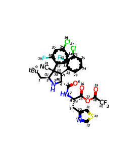 CC(C)(C)C[C@@H]1N[C@@H](C(=O)N[C@@H](Cc2cscn2)C(=O)OC(=O)C(F)(F)F)[C@H](c2cccc(Cl)c2F)[C@@]1(C#N)c1ccc(Cl)cc1F